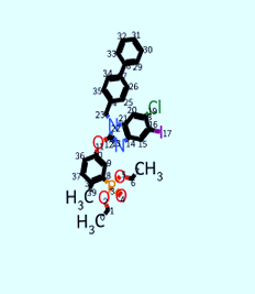 CCOP(=O)(OCC)c1cc(Oc2nc3cc(I)c(Cl)cc3n2Cc2ccc(-c3ccccc3)cc2)ccc1C